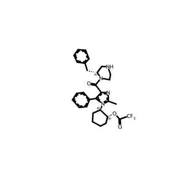 Cc1nc(C(=O)N2CCNC[C@H]2Cc2ccccc2)c(-c2ccccc2)n1[C@@H]1CCCC[C@H]1OC(=O)C(F)(F)F